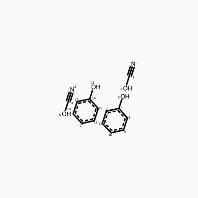 N#CO.N#CO.Oc1ccccc1.Oc1ccccc1